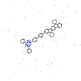 C1=CC(c2nc(-c3ccccc3)cc(-c3ccc(-c4ccc(-c5ccc6c(c5)C5(CCCCC5)c5cc7c(cc5-6)C5(CCCCC5)c5ccccc5-7)cc4)cc3)n2)=CCC1